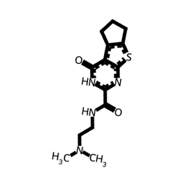 CN(C)CCNC(=O)c1nc2sc3c(c2c(=O)[nH]1)CCC3